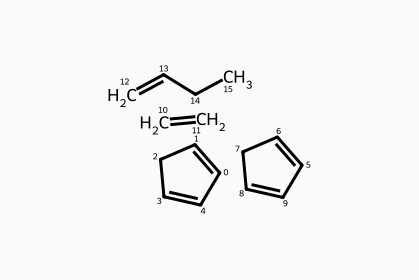 C1=CCC=C1.C1=CCC=C1.C=C.C=CCC